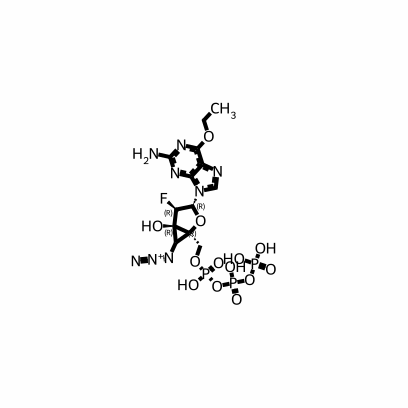 CCOc1nc(N)nc2c1ncn2[C@@H]1O[C@@]2(COP(=O)(O)OP(=O)(O)OP(=O)(O)O)C(N=[N+]=[N-])[C@]2(O)[C@H]1F